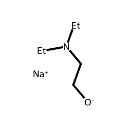 CCN(CC)CC[O-].[Na+]